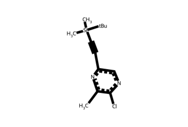 Cc1nc(C#C[Si](C)(C)C(C)(C)C)cnc1Cl